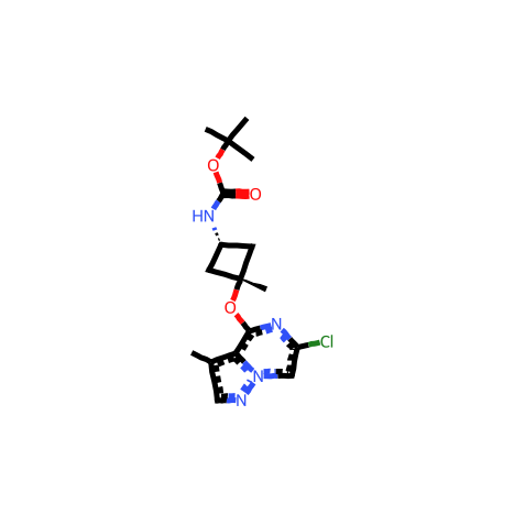 Cc1cnn2cc(Cl)nc(O[C@]3(C)C[C@H](NC(=O)OC(C)(C)C)C3)c12